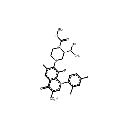 CC(O)[C@@H]1CN(c2c(F)cc3c(=O)c(C(=O)O)cn(-c4ccc(F)cc4F)c3c2F)CCN1C(=O)OC(C)(C)C